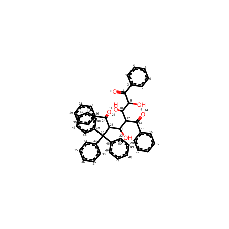 O=C(c1ccccc1)C(O)C(O)C(C(=O)c1ccccc1)C(O)C(C(=O)c1ccccc1)C(c1ccccc1)(c1ccccc1)c1ccccc1